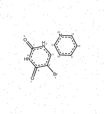 O=c1[nH]cc(Br)c(=O)[nH]1.c1ccncc1